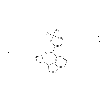 CC(C)(C)OC(=O)C(Br)c1cccc2cnn(C3COC3)c12